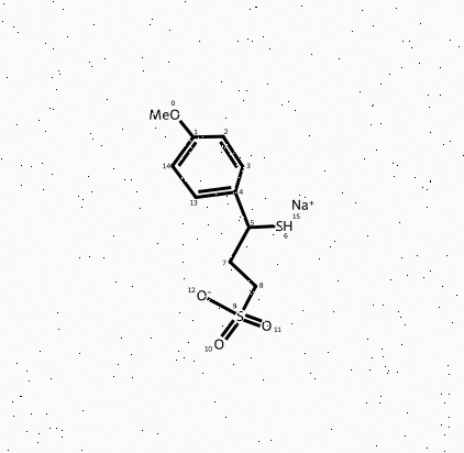 COc1ccc(C(S)CCS(=O)(=O)[O-])cc1.[Na+]